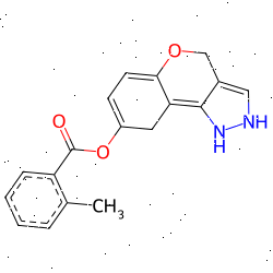 Cc1ccccc1C(=O)OC1=CC=C2OCC3=CNNC3=C2C1